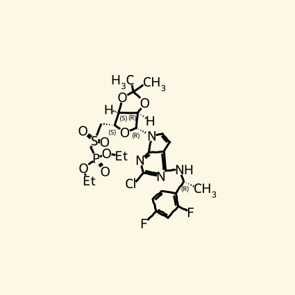 CCOP(=O)(CS(=O)(=O)C[C@H]1O[C@@H](n2ccc3c(N[C@H](C)c4ccc(F)cc4F)nc(Cl)nc32)[C@@H]2OC(C)(C)O[C@@H]21)OCC